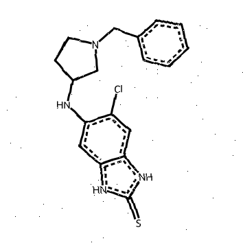 S=c1[nH]c2cc(Cl)c(NC3CCN(Cc4ccccc4)C3)cc2[nH]1